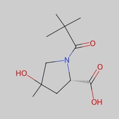 CC1(O)C[C@@H](C(=O)O)N(C(=O)C(C)(C)C)C1